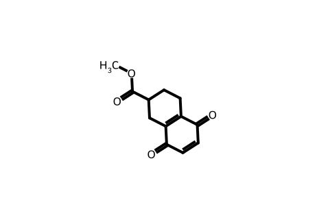 COC(=O)C1CCC2=C(C1)C(=O)C=CC2=O